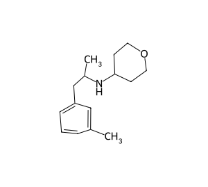 Cc1cccc(CC(C)NC2CCOCC2)c1